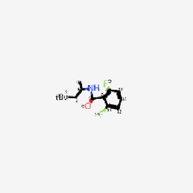 CC(CC(C)(C)C)NC(=O)c1c(F)cccc1F